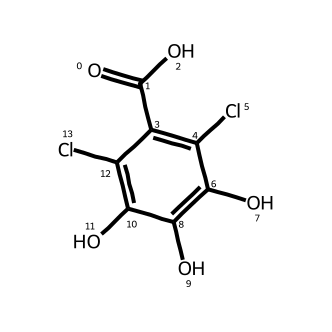 O=C(O)c1c(Cl)c(O)c(O)c(O)c1Cl